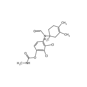 CNC(=O)Oc1ccc(N(C=O)C2(C)CCC(C)=C(C)C2)c(Cl)c1Cl